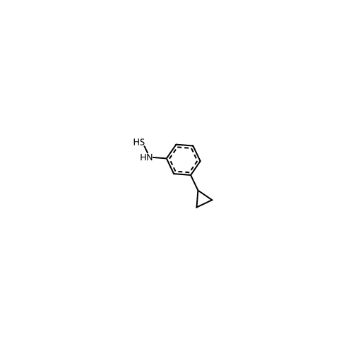 SNc1cccc(C2CC2)c1